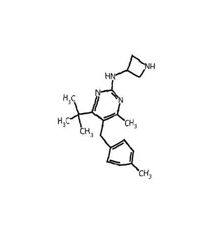 Cc1ccc(Cc2c(C)nc(NC3CNC3)nc2C(C)(C)C)cc1